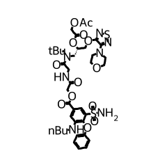 CCCCNc1cc(C(=O)OCC(=O)NCC(=O)N(C[C@@H](COc2nsnc2N2CCOCC2)OC(=O)COC(C)=O)C(C)(C)C)cc(S(N)(=O)=O)c1Oc1ccccc1